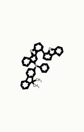 CC1(C)c2ccccc2-c2ccc(N(c3ccccc3)c3cc4c(oc5cccc(-c6cccc7c6oc6ccccc67)c54)c4ccccc34)cc21